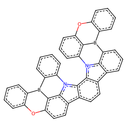 c1ccc2c(c1)Oc1cccc3c1B2c1cccc2c4ccc5c6ccc7c8c6n(c5c4n-3c12)-c1ccccc1B8c1ccccc1O7